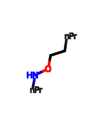 CCCCCONCCC